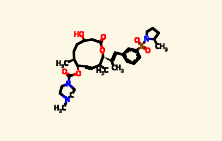 C/C(=C\c1cccc(S(=O)(=O)N2CCC[C@H]2C)c1)[C@H]1OC(=O)C[C@H](O)CC[C@H](C)[C@@H](OC(=O)N2CCN(C)CC2)/C=C/[C@@H]1C